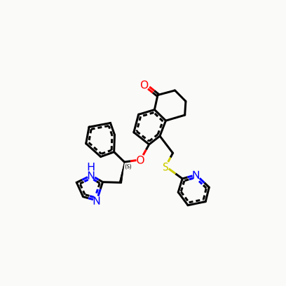 O=C1CCCc2c1ccc(O[C@@H](Cc1ncc[nH]1)c1ccccc1)c2CSc1ccccn1